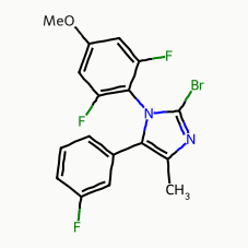 COc1cc(F)c(-n2c(Br)nc(C)c2-c2cccc(F)c2)c(F)c1